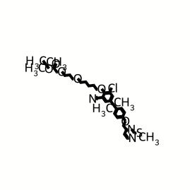 CSc1nccc(COc2ccc(C(C)(C)c3cc(Cl)c(OCCCCCOCCCOCC(=O)OC(C)(C)C)c(C#N)c3)cc2)n1